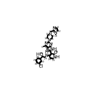 Cc1nc(N2CCN(Cc3nccn3C)CC2)nc2[nH]c(-c3c(NCC(O)c4cccc(Cl)c4)cc[nH]c3=O)nc12